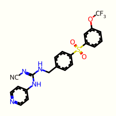 N#CN=C(NCc1ccc(S(=O)(=O)c2cccc(OC(F)(F)F)c2)cc1)Nc1ccncc1